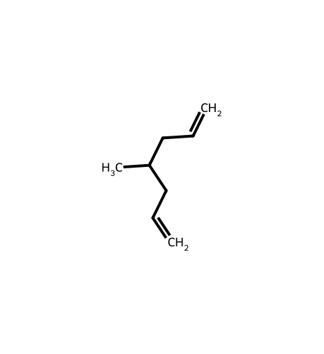 C=CC[C](C)CC=C